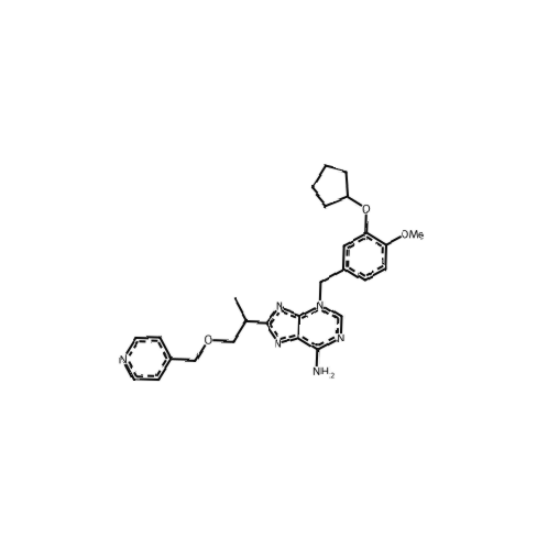 COc1ccc(Cn2cnc(N)c3nc(C(C)COCc4ccncc4)nc2-3)cc1OC1CCCC1